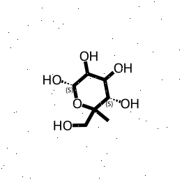 CC1(CO)O[C@H](O)C(O)C(O)[C@@H]1O